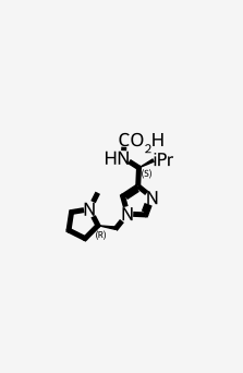 CC(C)[C@H](NC(=O)O)c1cn(C[C@H]2CCCN2C)cn1